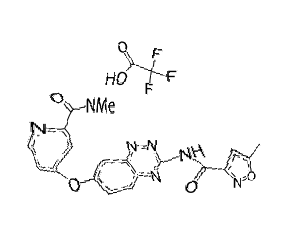 CNC(=O)c1cc(Oc2ccc3nc(NC(=O)c4cc(C)on4)nnc3c2)ccn1.O=C(O)C(F)(F)F